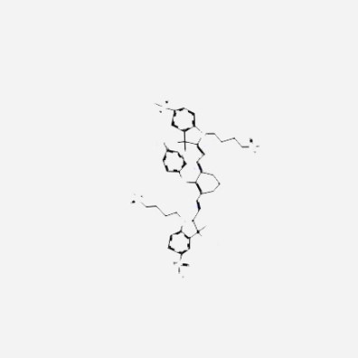 Cc1ccc(OC2=C(/C=C/C3=[N+](CCCCS(=O)(=O)O)c4ccc(S(=O)(=O)O)cc4C3(C)C)CCC/C2=C\C=C2\N(CCCCS(=O)(=O)O)c3ccc(S(=O)(=O)O)cc3C2(C)C)cc1